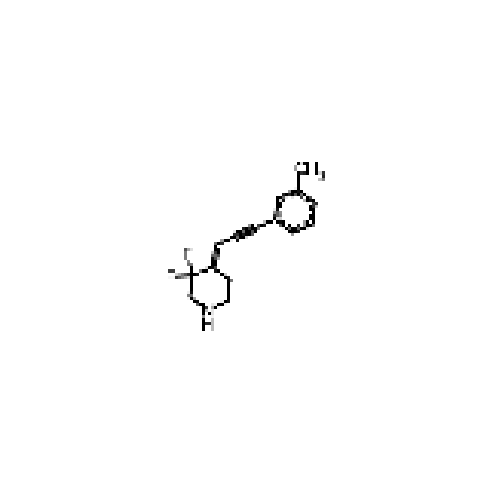 Cc1cccc(C#C/C=C2\CCNCC2(F)F)c1